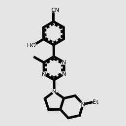 CCN1CCC2CCN(c3nnc(-c4ccc(C#N)cc4O)c(C)n3)C2C1